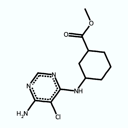 COC(=O)C1CCCC(Nc2ncnc(N)c2Cl)C1